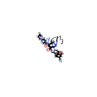 Cc1ncc(C(=O)N2CCC3(CC2)OCc2cc(C#N)ccc23)cc1NC(=O)c1ccc(N2CCCC2)nc1